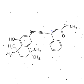 COC(=O)/C=C(/C#C[Se]c1cc(O)c2c(c1)C(C)(C)CCC2(C)C)c1ccccc1